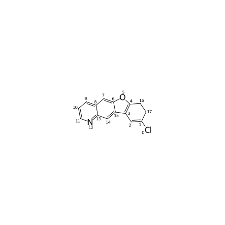 ClC1=Cc2c(oc3cc4cccnc4cc23)CC1